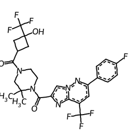 CC1(C)CN(C(=O)C2CC(O)(C(F)(F)F)C2)CCN1C(=O)c1cn2nc(-c3ccc(F)cc3)cc(C(F)(F)F)c2n1